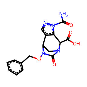 NC(=O)n1ncc2c1C(C(=O)O)N1CC2N(OCc2ccccc2)C1=O